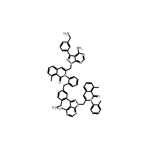 Cc1ccccc1-n1c(Cn2nc(-c3cc(Cc4ccccc4-n4c(Cn5nc(-c6cccc(CN)c6)c6c(N)ncnc65)cc5cccc(C)c5c4=O)ccc3CN)c3c(N)ncnc32)cc2cccc(C)c2c1=O